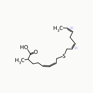 C/C=C\C/C=C\CSCC=C=CCCC(C)C(=O)O